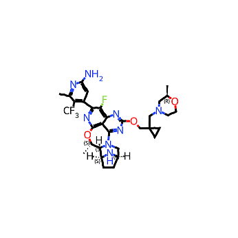 Cc1nc(N)cc(-c2nc3c4c(nc(OCC5(CN6CCO[C@H](C)C6)CC5)nc4c2F)N2C[C@H]4CC[C@H](N4)[C@H]2[C@H](C)O3)c1C(F)(F)F